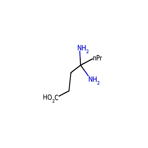 CCCC(N)(N)CCC(=O)O